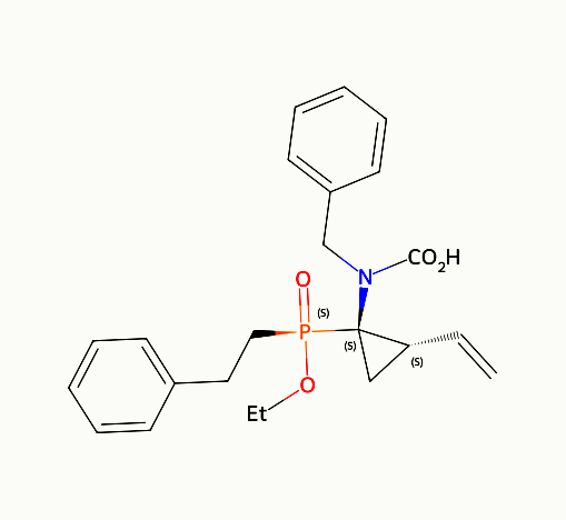 C=C[C@@H]1C[C@]1(N(Cc1ccccc1)C(=O)O)[P@](=O)(CCc1ccccc1)OCC